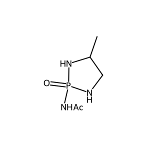 CC(=O)NP1(=O)NCC(C)N1